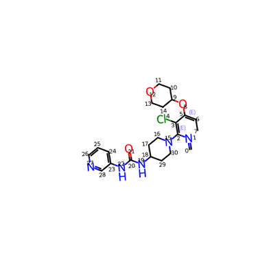 C=N/C(=C(Cl)\C(=C/C)OC1CCOCC1)N1CCC(NC(=O)Nc2cccnc2)CC1